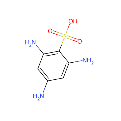 Nc1cc(N)c(S(=O)(=O)O)c(N)c1